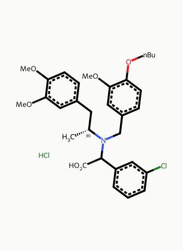 CCCCOc1ccc(CN(C(C(=O)O)c2cccc(Cl)c2)[C@H](C)Cc2ccc(OC)c(OC)c2)cc1OC.Cl